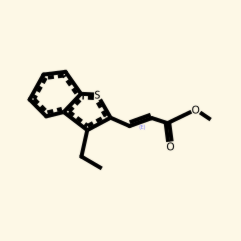 CCc1c(/C=C/C(=O)OC)sc2ccccc12